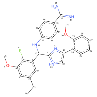 CCc1cc(OC)c(F)c(C(Nc2ccc(C(=N)N)cc2)c2nc(-c3ccccc3OC)c[nH]2)c1